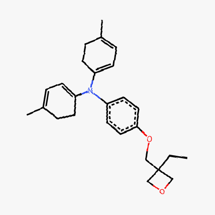 CCC1(COc2ccc(N(C3=CC=C(C)CC3)C3=CC=C(C)CC3)cc2)COC1